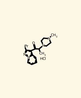 CC(C)c1nn2ccccc2c1C(=O)C(C)N1CCN(C)CC1.Cl